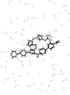 CC(Cn1cnnn1)Oc1cc(-c2cnc(Nc3cn(C4CCC(N5CCOCC5)CC4)nc3OCc3ccnn3C)nc2)ccc1C#N